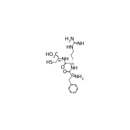 N=C(N)NCCC[C@H](NC(=O)[C@@H](N)Cc1ccccc1)C(=O)N[C@@H](CS)C(=O)O